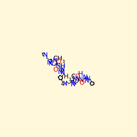 CN1C(=O)[C@@H](NC(=O)c2ncn(Cc3cccc(C4CCN4CCc4cc5n(n4)CC[C@@H](NC(=O)c4ncn(Cc6ccccc6)n4)C(=O)N5C)c3)n2)CCn2nc(CCN3CCC3)cc21